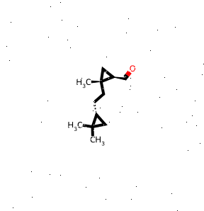 CC1(C)C[C@H]1CC[C@]1(C)C[C@H]1C=O